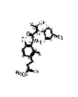 COC(=O)CCc1ccc(Cl)c(NC(=O)[C@H](C2C=CC(Cl)=CC2)[C@@H](C)C(F)(F)F)c1C